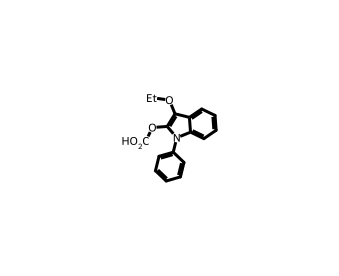 CCOc1c(OC(=O)O)n(-c2ccccc2)c2ccccc12